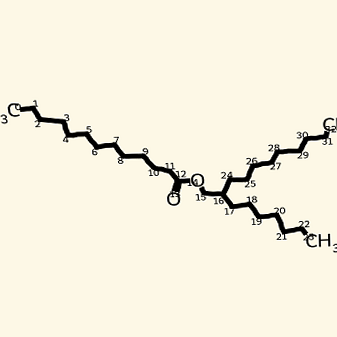 CCCCCCCCCCCCC(=O)OCC(CCCCCCC)CCCCCCCCC